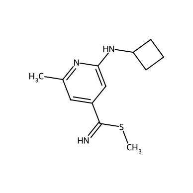 CSC(=N)c1cc(C)nc(NC2CCC2)c1